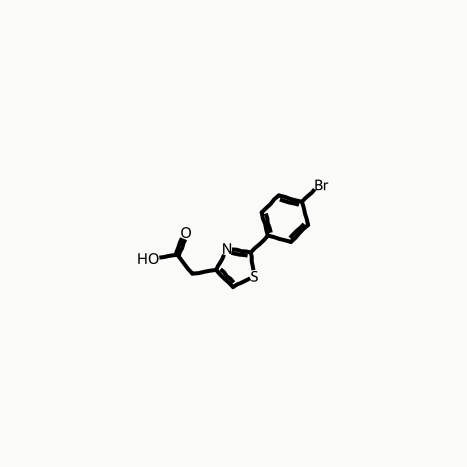 O=C(O)Cc1csc(-c2ccc(Br)cc2)n1